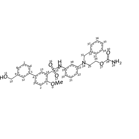 COc1ccc(-c2cccc(CO)c2)cc1S(=O)(=O)Nc1cccc(N(CCOC(N)=O)Cc2ccccc2)c1